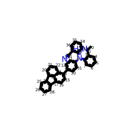 CC(N)c1ccccc1N(c1ccc(-c2ccc3c4c(cccc24)-c2ccccc2-3)cc1)c1ccccc1C#N